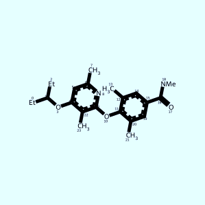 CCC(CC)Oc1cc(C)nc(Oc2c(C)cc(C(=O)NC)cc2C)c1C